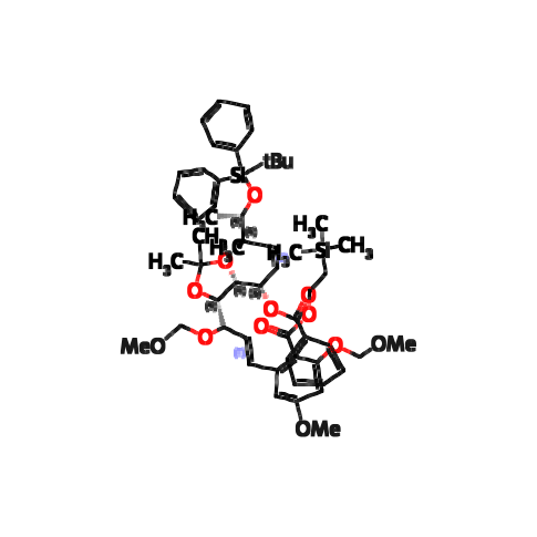 COCOc1cc(OC)cc(/C=C/C(OCOC)[C@@H]2OC(C)(C)O[C@@H]2[C@H](/C=C\[C@@H](C)[C@H](C)O[Si](c2ccccc2)(c2ccccc2)C(C)(C)C)OC(=O)c2ccccc2)c1C(=O)OCC[Si](C)(C)C